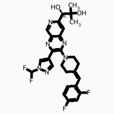 CC(C)(O)[C@H](O)c1cc2nc(N3CCC(=Cc4ccc(F)cc4F)CC3)c(-c3cnn(C(F)F)c3)nc2cn1